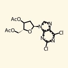 CC(=O)OC[C@H]1O[C@H](n2cnc3c(Cl)nc(Cl)nc32)CC1OC(C)=O